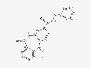 CCN1c2ccc(C(=O)NCc3cncnc3)cc2NC(=O)c2ccccc21